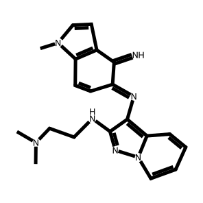 CN(C)CCNc1nn2ccccc2c1N=C1C=Cc2c(ccn2C)C1=N